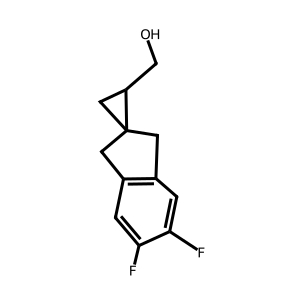 OCC1CC12Cc1cc(F)c(F)cc1C2